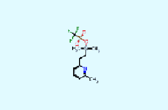 Cc1cccc(CC[Si](C)(C)OS(=O)(=O)C(F)(F)F)n1